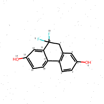 Oc1ccc2c(c1)CC(F)(F)c1cc(O)ccc1-2